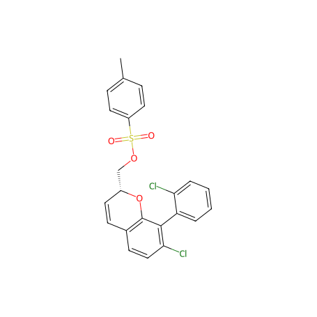 Cc1ccc(S(=O)(=O)OC[C@H]2C=Cc3ccc(Cl)c(-c4ccccc4Cl)c3O2)cc1